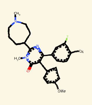 COc1ccc(-c2c(-c3ccc(C#N)c(F)c3)nc(C3CCCN(C)CC3)n(C)c2=O)cc1